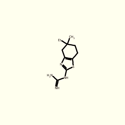 CCC1(C)CCc2sc(NC(=N)N)nc2C1